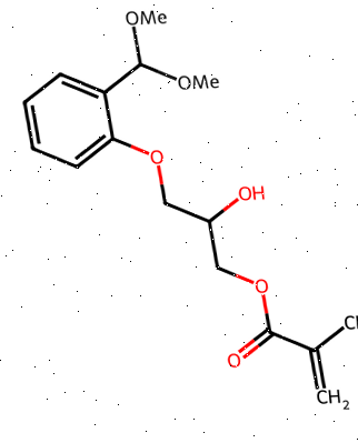 C=C(C)C(=O)OCC(O)COc1ccccc1C(OC)OC